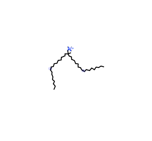 CCCCCCCC/C=C\CCCCCCCCC(C)(CCCCCCCC/C=C\CCCCCCCC)C[N+](C)(C)C